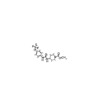 COC(=O)N1CCC(NC(=O)Nc2ccc(OC(F)(F)F)cc2)CC1